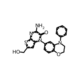 Nc1nc2sc(CO)cc2n(-c2ccc3c(c2)N(c2ccccc2)CCO3)c1=O